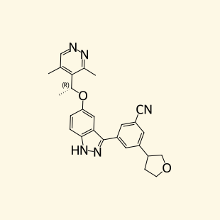 Cc1cnnc(C)c1[C@@H](C)Oc1ccc2[nH]nc(-c3cc(C#N)cc(C4CCOC4)c3)c2c1